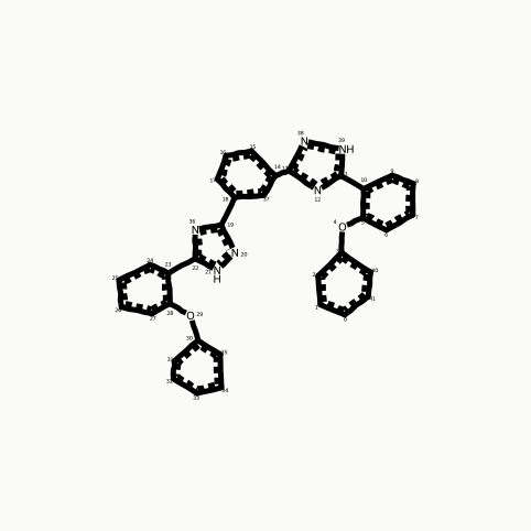 c1ccc(Oc2ccccc2-c2nc(-c3cccc(-c4n[nH]c(-c5ccccc5Oc5ccccc5)n4)c3)n[nH]2)cc1